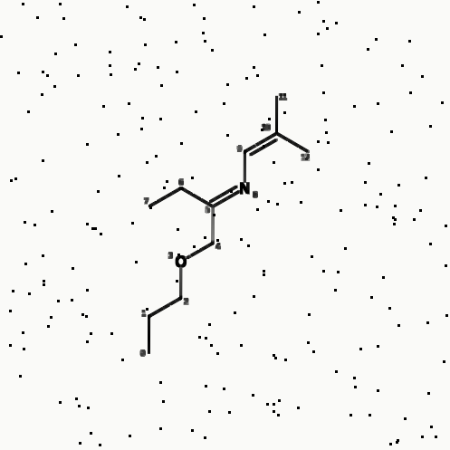 CCCOC/C(CC)=N/C=C(C)C